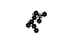 c1ccc(-c2ccc(-c3cc(-c4ccc5c(c4)sc4cccc(-c6nc(-c7ccccc7)nc(-c7ccccc7)n6)c45)cc4sc5ccccc5c34)cc2)cc1